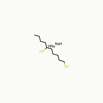 CCCCC(S)CCCCCS.[NaH].[NaH]